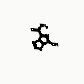 NC(=O)c1nn(O)c2scnc12